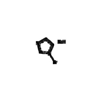 Brn1ccnc1.[NaH]